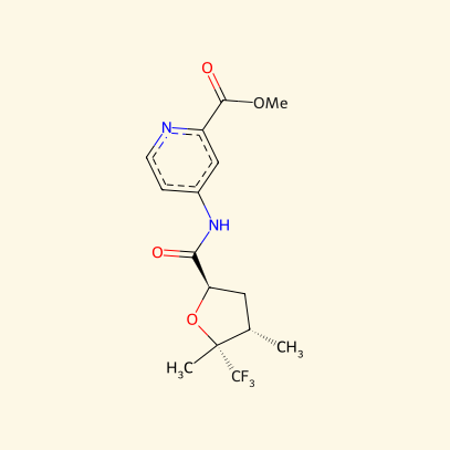 COC(=O)c1cc(NC(=O)[C@H]2C[C@H](C)[C@](C)(C(F)(F)F)O2)ccn1